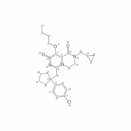 CCCCOc1c2n(c(CC3(c4ccc(Cl)cc4)CCCC3)nc1=O)CCN(CC1CC1)C2=O